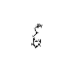 CC(C)CCCn1cccn1